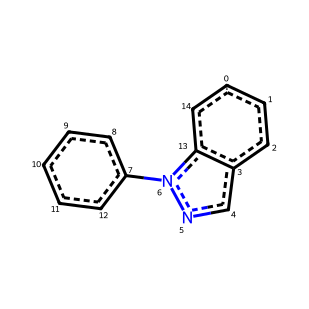 [c]1ccc2cnn(-c3ccccc3)c2c1